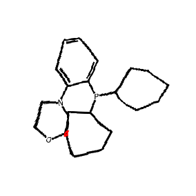 c1ccc(P(C2CCCCC2)C2CCCCC2)c(N2CCOCC2)c1